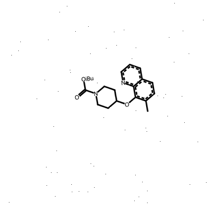 Cc1ccc2cccnc2c1OC1CCN(C(=O)OCC(C)C)CC1